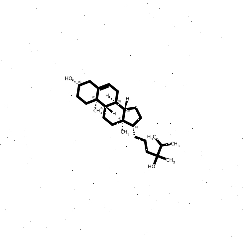 CC(C)C(C)(O)CCC[C@H]1CC[C@H]2[C@@H]3CC=C4C[C@@H](O)CC[C@]4(C)[C@H]3CC[C@]12C